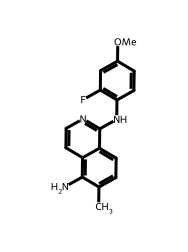 COc1ccc(Nc2nccc3c(N)c(C)ccc23)c(F)c1